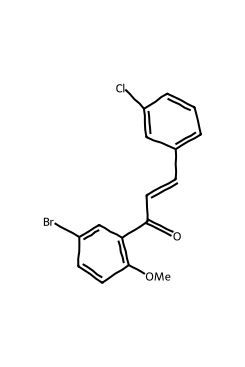 COc1ccc(Br)cc1C(=O)/C=C/c1cccc(Cl)c1